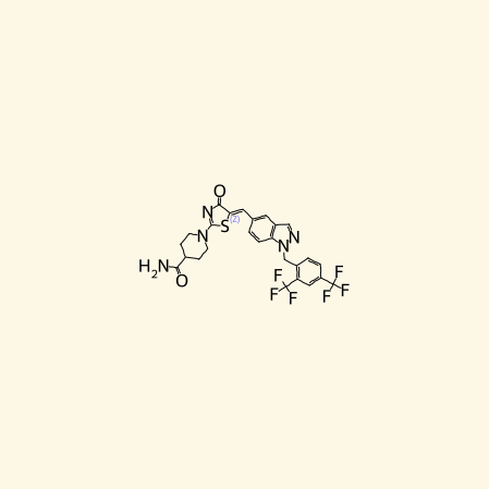 NC(=O)C1CCN(C2=NC(=O)/C(=C/c3ccc4c(cnn4Cc4ccc(C(F)(F)F)cc4C(F)(F)F)c3)S2)CC1